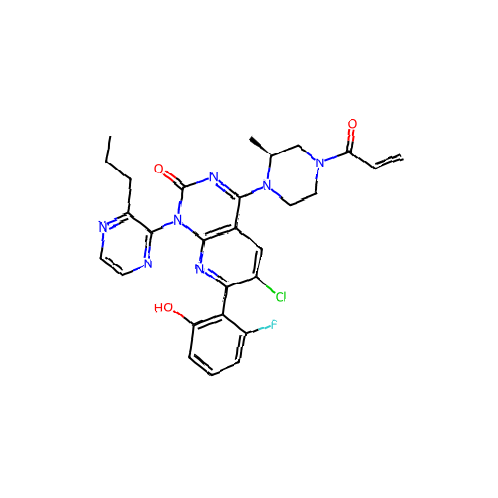 C=CC(=O)N1CCN(c2nc(=O)n(-c3nccnc3CCC)c3nc(-c4c(O)cccc4F)c(Cl)cc23)[C@@H](C)C1